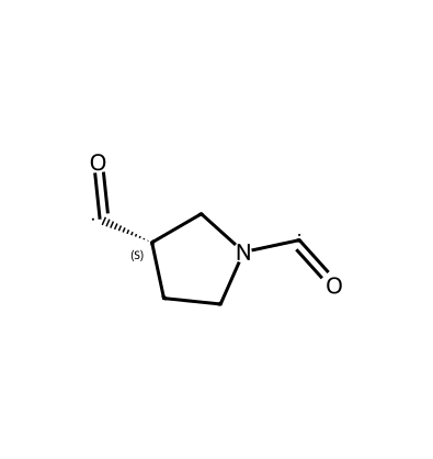 O=[C][C@H]1CCN([C]=O)C1